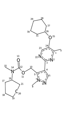 Cc1nc(-c2cnn(C)c2COC(=O)N(C)C2CCCCC2)ncc1OC1CCCCC1